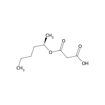 CCCC[C@@H](C)OC(=O)CC(=O)O